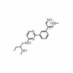 CCC(CNc1ccnc(-c2cccc(/C(C=N)=C/NC)c2)n1)NC